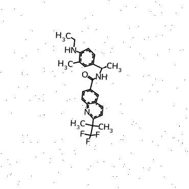 CCNc1ccc([C@@H](C)NC(=O)c2ccc3nc(C(C)(C)C(F)(F)F)ccc3c2)cc1C